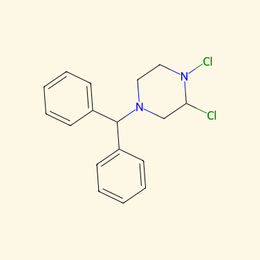 ClC1CN(C(c2ccccc2)c2ccccc2)CCN1Cl